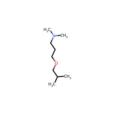 CC(C)COCCCN(C)C